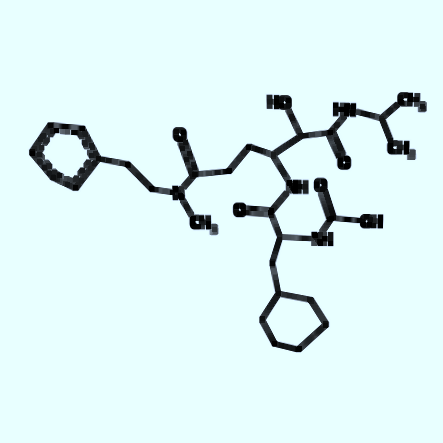 CC(C)NC(=O)C(O)C(CCC(=O)N(C)CCc1ccccc1)NC(=O)C(CC1CCCCC1)NC(=O)O